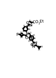 CCOC(=O)c1coc(-c2cccc(N(CC34CCC(c5nc(C6CC6)no5)(CC3)CC4)C(=O)C34CC(F)(C3)C4)c2)n1